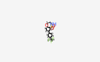 O=S1(=O)NCCOc2ccc(-c3ccc(C(F)(F)F)cc3)cc21